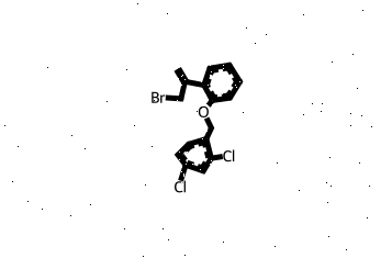 C=C(CBr)c1ccccc1OCc1ccc(Cl)cc1Cl